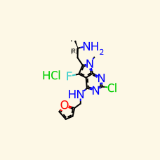 Cl.[CH2][C@@H](N)Cc1c(F)c2c(NCc3ccco3)nc(Cl)nc2n1C